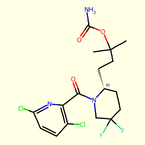 CC(C)(CC[C@@H]1CCC(F)(F)CN1C(=O)c1nc(Cl)ccc1Cl)OC(N)=O